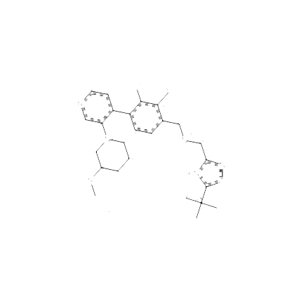 CNC1CCCN(c2cnccc2-c2ccc(CNCc3noc(C(C)(C)C)n3)c(C)c2F)C1.Cl